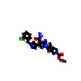 CC(C)(C)OC(=O)N1CC2[C@@H]3[C@H](n4nc(-c5cnn(Cc6ccccc6Cl)c5)c(C(N)=O)c4N)C[C@]23C1